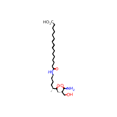 C[C@H](CCCCNC(=O)CCCCCCCCCCCCCCC(=O)O)C(=O)C[C@@H](CO)C(N)=O